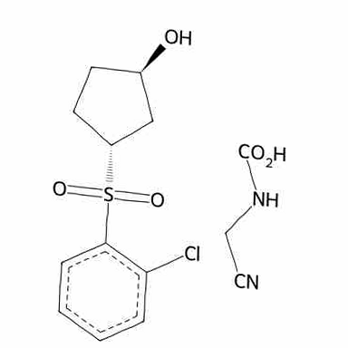 N#CCNC(=O)O.O=S(=O)(c1ccccc1Cl)[C@@H]1CC[C@@H](O)C1